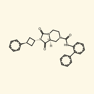 O=C(Nc1ccccc1-c1ccccc1)N1CCN2C(=O)N([C@H]3C[C@H](c4ccccc4)C3)C(=O)[C@@H]2C1